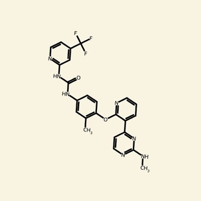 CNc1nccc(-c2cccnc2Oc2ccc(NC(=O)Nc3cc(C(F)(F)F)ccn3)cc2C)n1